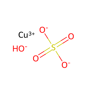 O=S(=O)([O-])[O-].[Cu+3].[OH-]